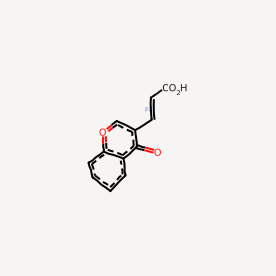 O=C(O)/C=C/c1coc2ccccc2c1=O